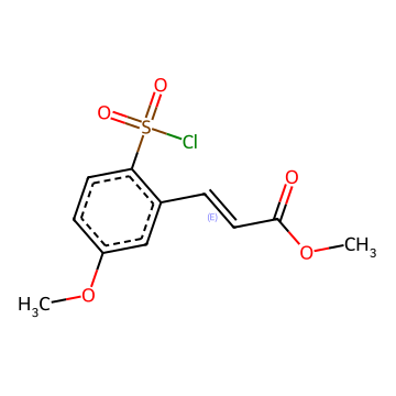 COC(=O)/C=C/c1cc(OC)ccc1S(=O)(=O)Cl